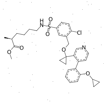 COC(=O)[C@@H](C)CCCCNS(=O)(=O)c1ccc(Cl)c(COC2(c3cnccc3-c3ccccc3OC3CC3)CC2)c1